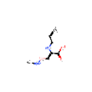 C=CCN/C(=C\BNC)C(=O)O